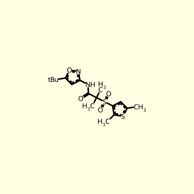 Cc1cc(S(=O)(=O)C(C)(C)C(=O)Nc2cc(C(C)(C)C)on2)c(C)s1